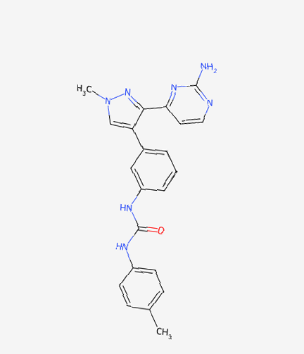 Cc1ccc(NC(=O)Nc2cccc(-c3cn(C)nc3-c3ccnc(N)n3)c2)cc1